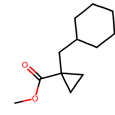 COC(=O)C1(CC2CCCCC2)CC1